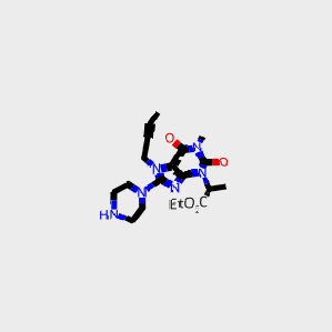 CC#CCn1c(N2CCNCC2)nc2c1c(=O)n(C)c(=O)n2C(C)C(=O)OCC